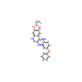 CC1Oc2cc3ncc(N)c(Nc4ccc(Oc5ccccc5)cc4)c3cc2O1